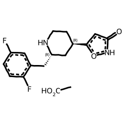 CC(=O)O.O=c1cc([C@@H]2CCN[C@@H](Cc3cc(F)ccc3F)C2)o[nH]1